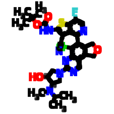 CC(C)N(C)[C@@H]1CN(c2ncc3c4c(c(-c5ncc(F)c6sc(NC(=O)OC(C)(C)C)c(C#N)c56)c(Cl)c3n2)COC4)C[C@@H]1O